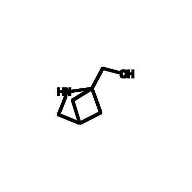 OCC12CC(CN1)C2